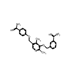 Cc1ncc(COc2ccc(C(=N)N)cc2)c(C)c1OCc1cccc(C(=N)N)c1